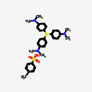 CN(C)c1ccc([S+](c2ccc(N(C)C)cc2)c2ccc(N(C)C)cc2)cc1.Cc1ccc(S(=O)(=O)O)cc1